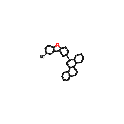 N#Cc1ccc2oc3ccc(-c4cc5c6ccccc6ccc5c5ccccc45)cc3c2c1